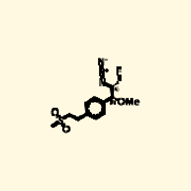 CO[C@H](c1ccc(CCS(C)(=O)=O)cc1)[C@@H](CF)N=[N+]=[N-]